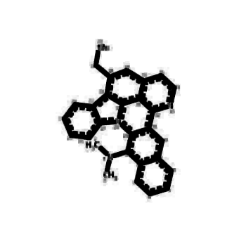 CN(C)c1c2ccccc2cc2c3nccc4cc(CC(C)(C)C)c5c6ccccc6n(c12)c5c43